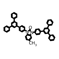 Cc1ccc2c(c1)n(-c1ccc(-c3cc(-c4ccccc4)cc(-c4ccccc4)c3)cc1)c(=O)n2-c1ccc(-c2cc(-c3ccccc3)cc(-c3ccccc3)c2)cc1